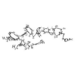 CC(=O)OCCN1CCN(Cc2ccc(NC(=O)Cc3cccc(C#Cc4cnc(N)nc4-c4cc5c(n4C)CCN(C(=O)OC(C)(C)C)C5=O)c3)cc2C(F)(F)F)CC1